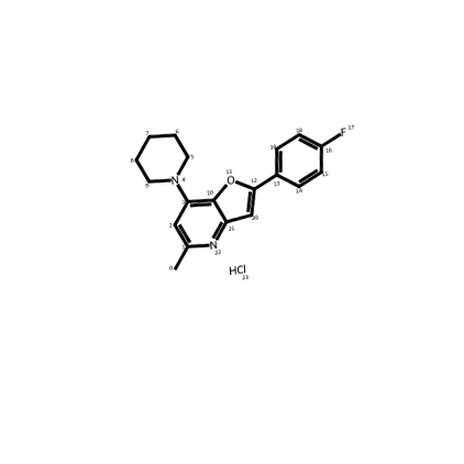 Cc1cc(N2CCCCC2)c2oc(-c3ccc(F)cc3)cc2n1.Cl